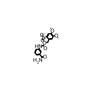 COc1cc(COC(=O)Nc2cccc(C(N)=O)c2)c([N+](=O)[O-])cc1OC